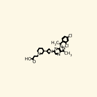 Cc1nn([C@H](C)c2ccc(Cl)cc2Cl)c2nc(N3CC([C@@H]4CCCN(CCC(=O)O)C4)C3)cnc12